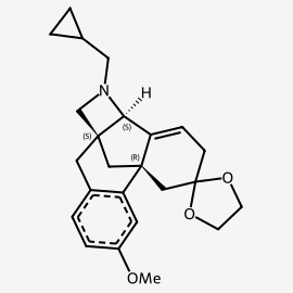 COc1ccc2c(c1)[C@@]13CC4(CC=C1[C@@H]1N(CC5CC5)C[C@]1(C2)C3)OCCO4